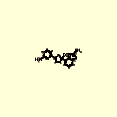 Nc1nccc(C2=CCC(C(=O)O)(c3cccc4sc(N)nc34)S2)n1